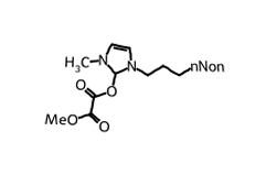 CCCCCCCCCCCCN1C=CN(C)C1OC(=O)C(=O)OC